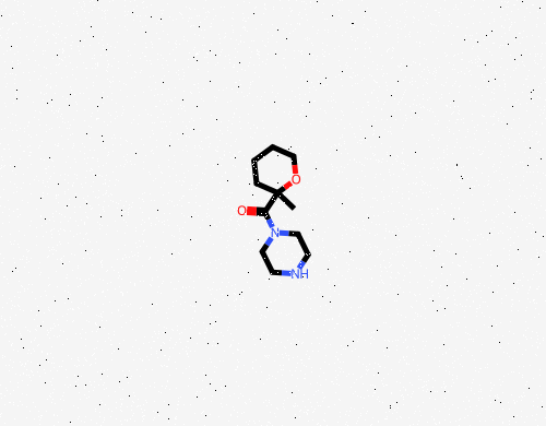 CC1(C(=O)N2CCNCC2)CCCCO1